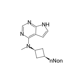 CCCCCCCCC[C@H]1C[C@@H](N(C)c2ncnc3[nH]ccc23)C1